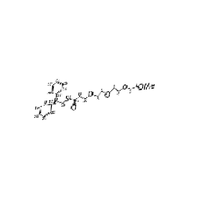 COCCOCCOCCOCCC(=O)SCP(c1ccccc1)c1ccccc1